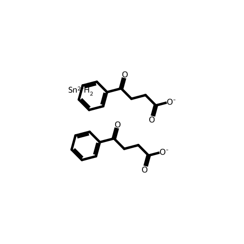 O=C([O-])CCC(=O)c1ccccc1.O=C([O-])CCC(=O)c1ccccc1.[SnH2+2]